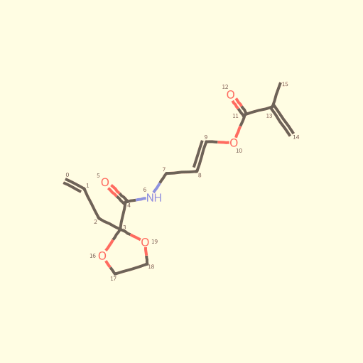 C=CCC1(C(=O)NCC=COC(=O)C(=C)C)OCCO1